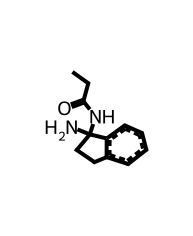 CCC(=O)NC1(N)CCc2ccccc21